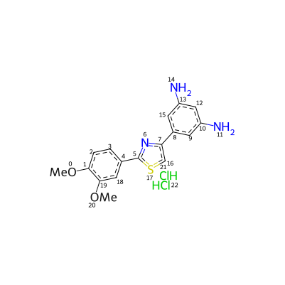 COc1ccc(-c2nc(-c3cc(N)cc(N)c3)cs2)cc1OC.Cl.Cl